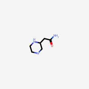 NC(=O)CC1C[N]CCN1